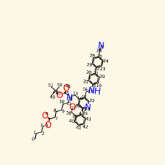 CCCCOC(=O)CCCCCN(Cc1c(CNc2ccc(-c3ccc(C#N)cc3)cc2)cnc(C)c1OCc1ccccc1)C(=O)OC(C)(C)C